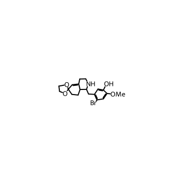 COc1cc(Br)c(CC2NCCC3=CC4(CCC32)OCCO4)cc1O